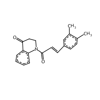 Cc1ccc(/C=C/C(=O)N2CCC(=O)c3ccccc32)cc1C